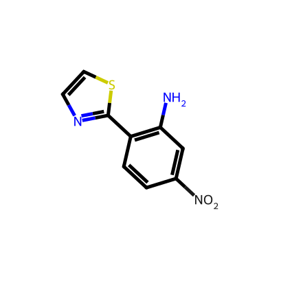 Nc1cc([N+](=O)[O-])ccc1-c1nccs1